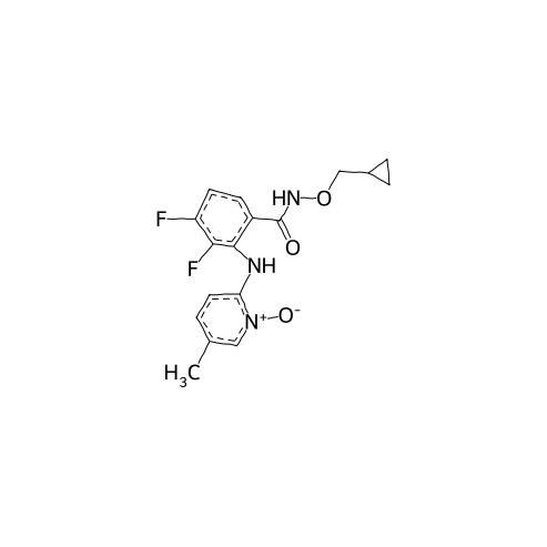 Cc1ccc(Nc2c(C(=O)NOCC3CC3)ccc(F)c2F)[n+]([O-])c1